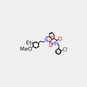 CCc1cc(CCN2CC34C=CC(O3)C(C(=O)NCc3ccccc3Cl)C4C2=O)ccc1OC